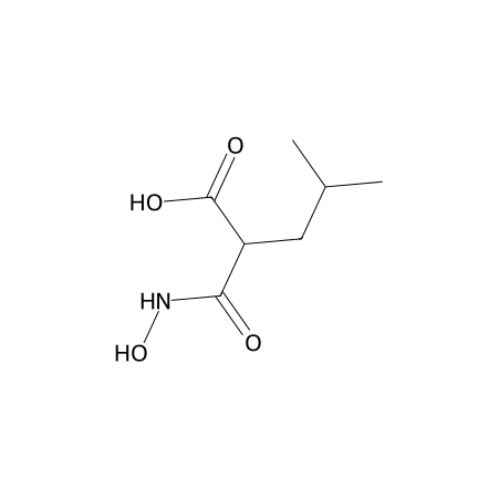 CC(C)CC(C(=O)O)C(=O)NO